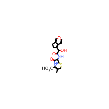 CC1=C(C(=O)O)N2C(=O)C(NC(=O)C(O)C3=C4C=COC=C4CC3)C2SC1